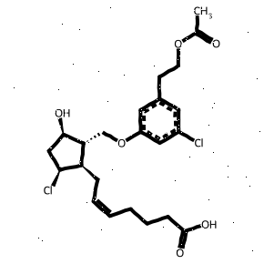 CC(=O)OCCc1cc(Cl)cc(OC[C@@H]2[C@@H](C/C=C\CCCC(=O)O)[C@@H](Cl)C[C@H]2O)c1